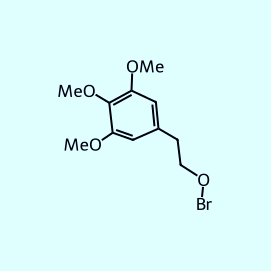 COc1cc(CCOBr)cc(OC)c1OC